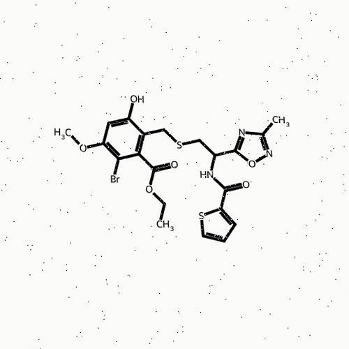 CCOC(=O)c1c(Br)c(OC)cc(O)c1CSCC(NC(=O)c1cccs1)c1nc(C)no1